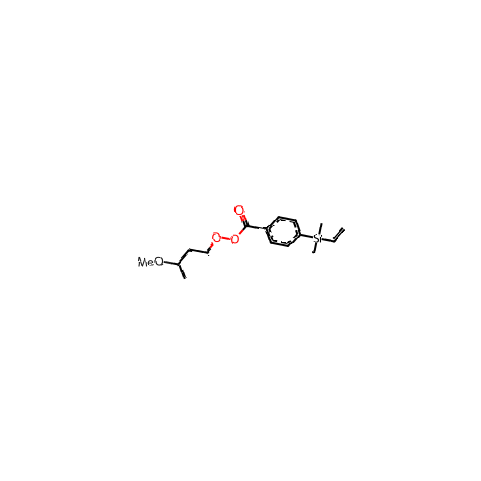 C=C[Si](C)(C)c1ccc(C(=O)OO[CH]CC(C)OC)cc1